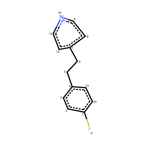 Fc1ccc([CH]Cc2ccncc2)cc1